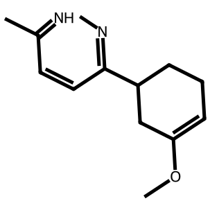 C/N=C(\C=C/C(C)=N)C1CCC=C(OC)C1